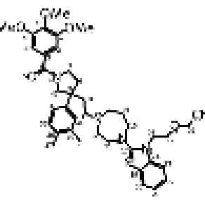 COc1cc(C(=O)N2CCC(CCN3CCCN(c4nc5ccccc5n4CCOCC#N)CC3)(c3ccc(C)c(C)c3)C2)cc(OC)c1OC